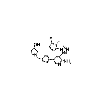 Nc1ncc(-c2ccc(CN3CC[C@@H](O)C3)cc2)cc1-c1nnnn1-c1cccc(F)c1F